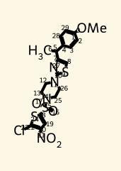 COc1ccc(C(C)c2csc(N3CCN(S(=O)(=O)c4cc([N+](=O)[O-])c(Cl)s4)CC3)n2)cc1